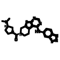 CN(C)[C@@H]1CCN(C(=O)[C@H]2CCc3c(sc4ncnc(Nc5ccc6nnsc6c5)c34)C2)C1